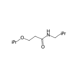 CC(C)CNC(=O)CCOC(C)C